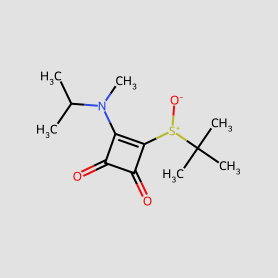 CC(C)N(C)c1c([S+]([O-])C(C)(C)C)c(=O)c1=O